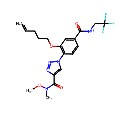 C=CCCCOc1cc(C(=O)NCC(F)(F)F)ccc1-n1cc(C(=O)N(C)OC)nn1